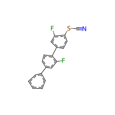 N#CSc1ccc(-c2ccc(-c3ccccc3)cc2F)cc1F